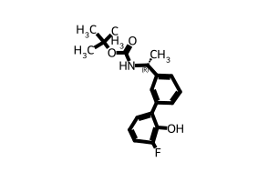 C[C@@H](NC(=O)OC(C)(C)C)c1cccc(-c2cccc(F)c2O)c1